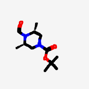 C[C@@H]1CN(C(=O)OC(C)(C)C)C[C@H](C)N1C=O